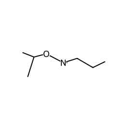 CCC[N]OC(C)C